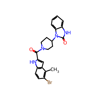 Cc1c(Br)ccc2[nH]c(C(=O)N3CCC(n4c(=O)[nH]c5ccccc54)CC3)cc12